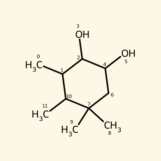 CC1C(O)C(O)CC(C)(C)C1C